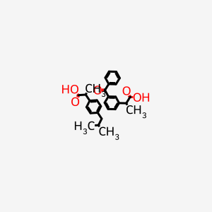 CC(C(=O)O)c1cccc(C(=O)c2ccccc2)c1.CC(C)Cc1ccc(C(C)C(=O)O)cc1